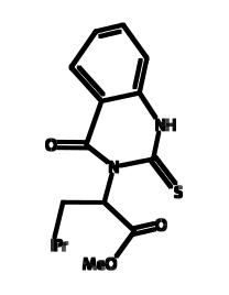 COC(=O)C(CC(C)C)n1c(=S)[nH]c2ccccc2c1=O